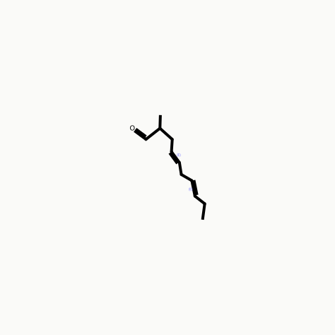 CC/C=C/C/C=C/CC(C)C=O